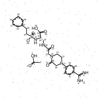 CC(=O)O.N=C(N)c1ccc(N2CCN(CC(=O)NC[C@H](NS(=O)(=O)CCc3ccccc3)C(=O)O)C(=O)C2)cc1